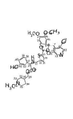 COc1ccc([C@H](Cc2c(Cl)cncc2Cl)OC(=O)c2ccc(CNC(C(=O)OCC3CCN(C)CC3)c3cccc(O)c3)s2)cc1OC